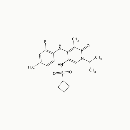 Cc1ccc(Nc2c(NS(=O)(=O)C3CCC3)cn(C(C)C)c(=O)c2C)c(F)c1